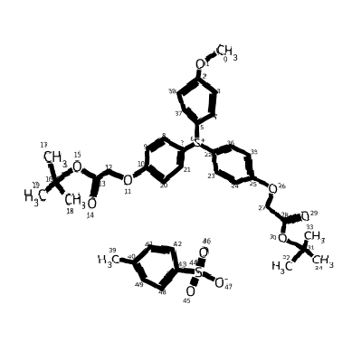 COc1ccc([S+](c2ccc(OCC(=O)OC(C)(C)C)cc2)c2ccc(OCC(=O)OC(C)(C)C)cc2)cc1.Cc1ccc(S(=O)(=O)[O-])cc1